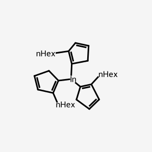 CCCCCCC1=[C]([In]([C]2=C(CCCCCC)C=CC2)[C]2=C(CCCCCC)C=CC2)CC=C1